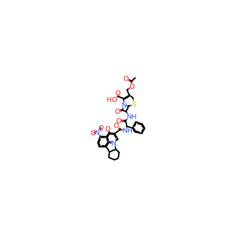 CC(=O)OCC1=C(C(=O)O)N2C(=O)C(NC(=O)C(NC(=O)c3cn4c5c(ccc([N+](=O)[O-])c5c3=O)C3CCCCC34)c3ccccc3)C2SC1